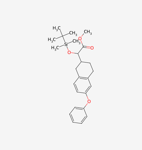 COC(=O)C(O[Si](C)(C)C(C)(C)C)C1CCc2cc(Oc3ccccc3)ccc2C1